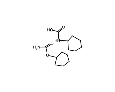 NC(=O)OC1CCCCC1.O=C(O)NC1CCCCC1